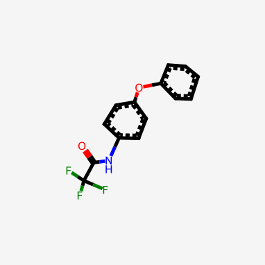 O=C(Nc1ccc(Oc2ccccc2)cc1)C(F)(F)F